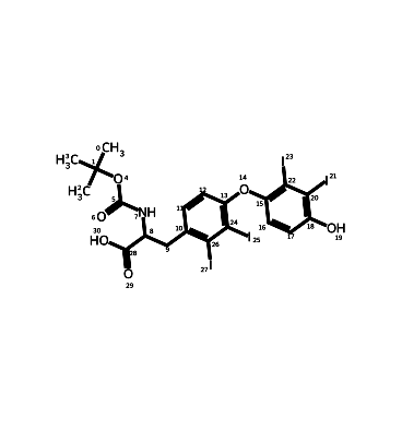 CC(C)(C)OC(=O)NC(Cc1ccc(Oc2ccc(O)c(I)c2I)c(I)c1I)C(=O)O